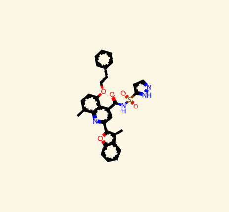 Cc1c(-c2cc(C(=O)NS(=O)(=O)c3ccn[nH]3)c3c(OCCc4ccccc4)ccc(C)c3n2)oc2ccccc12